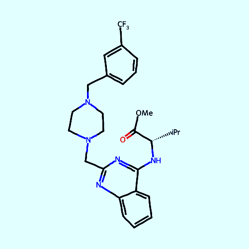 COC(=O)[C@@H](Nc1nc(CN2CCN(Cc3cccc(C(F)(F)F)c3)CC2)nc2ccccc12)C(C)C